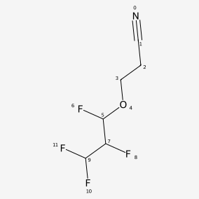 N#CCCOC(F)C(F)C(F)F